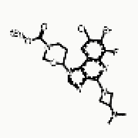 CN(C)C1CN(c2nc3c(F)c(Br)c(Cl)cc3c3c2ncn3C2CCN(C(=O)OC(C)(C)C)CC2)C1